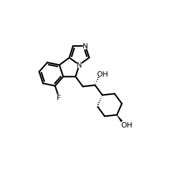 O[C@@H](CC1c2c(F)cccc2-c2cncn21)[C@H]1CC[C@H](O)CC1